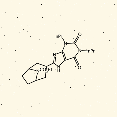 CCCn1c(=O)c2[nH]c(C3CC4CCC(C3)N4C(=O)OCC)nc2n(CCC)c1=O